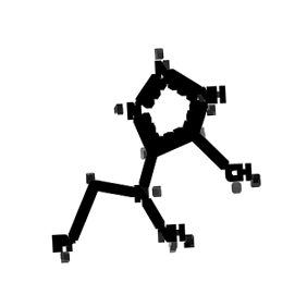 Cc1[nH]nnc1N(N)CC(C)C